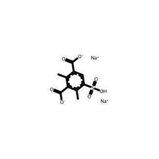 Cc1c(C(=O)[O-])cc(S(=O)(=O)O)c(C)c1C(=O)[O-].[Na+].[Na+]